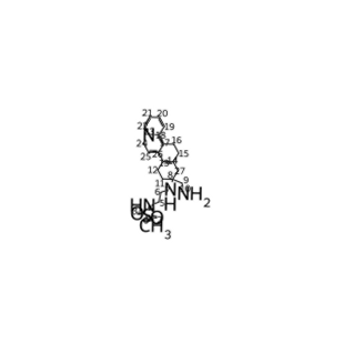 CS(=O)(=O)NCCNC1(CN)CCC2=C(CCC3=C4C=CC=CN4CC=C23)C1